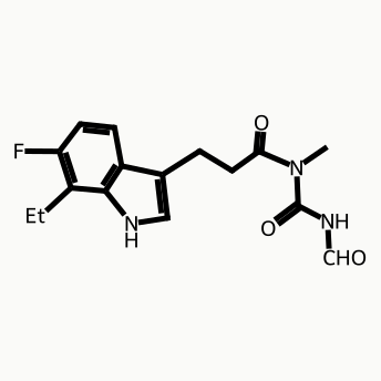 CCc1c(F)ccc2c(CCC(=O)N(C)C(=O)NC=O)c[nH]c12